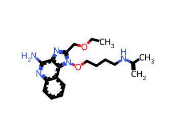 C=C(C)NCCCCOn1c(COCC)nc2c(N)nc3ccccc3c21